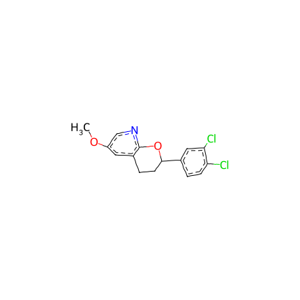 COc1cnc2c(c1)CCC(c1ccc(Cl)c(Cl)c1)O2